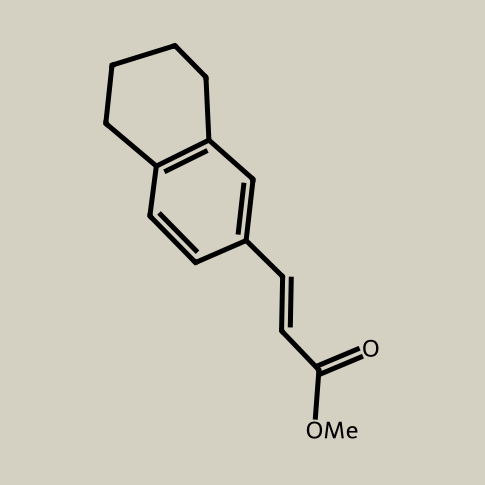 COC(=O)/C=C/c1ccc2c(c1)CCCC2